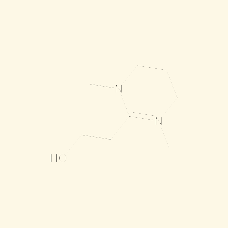 CN1CCC[N+](C)=C1CCO